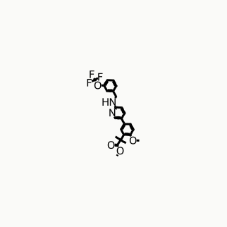 COC(=O)C(C)(C)c1cc(-c2ccc(NCc3cccc(OC(F)(F)F)c3)nc2)ccc1OC